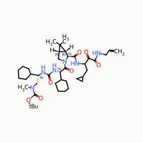 C=CCNC(=O)C(=O)C(CC1CC1)NC(=O)[C@@H]1[C@@H]2[C@H](CN1C(=O)[C@@H](NC(=O)N[C@H](CN(C)C(=O)OC(C)(C)C)C1CCCCC1)C1CCCCC1)C2(C)C